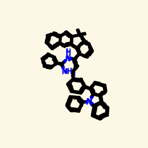 CC1(C)c2cc3ccccc3cc2-c2c(/C(=C/Cc3cccc(-c4cccc5c6ccccc6n(-c6ccccc6)c45)c3)NC(N)c3ccccc3)cccc21